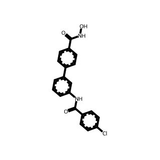 O=C(NO)c1ccc(-c2cccc(NC(=O)c3ccc(Cl)cc3)c2)cc1